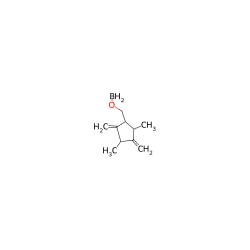 BOCC1C(=C)C(C)C(=C)C1C